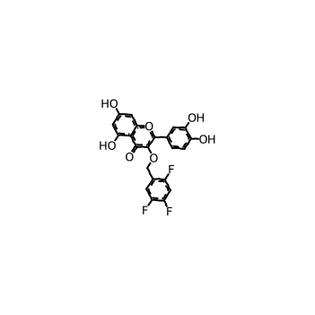 O=c1c(OCc2cc(F)c(F)cc2F)c(-c2ccc(O)c(O)c2)oc2cc(O)cc(O)c12